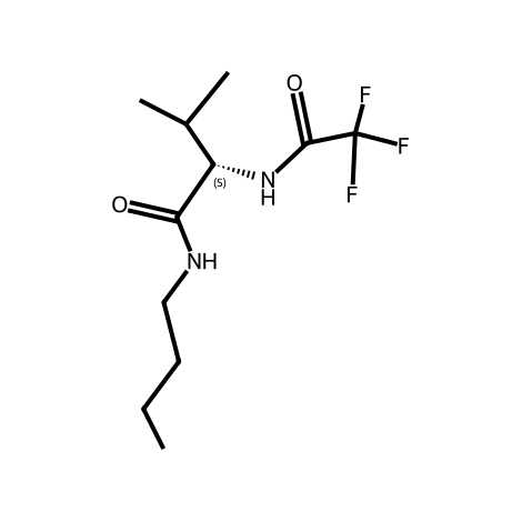 CCCCNC(=O)[C@@H](NC(=O)C(F)(F)F)C(C)C